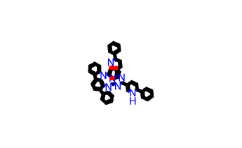 C1=CCCC(n2c3ccccc3c3ccc4c5ccccc5n(-c5nc(C6=CNC(c7ccccc7)C=C6)nc(-c6ccc(-c7ccccc7)nc6)n5)c4c32)=C1